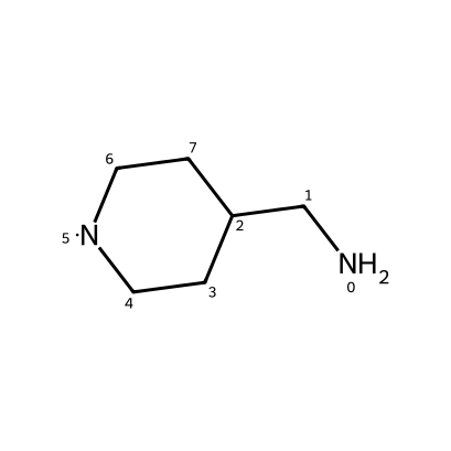 NCC1CC[N]CC1